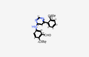 COc1ccc(Nc2cc(-c3ccccc3OC)ncn2)cc1C=O